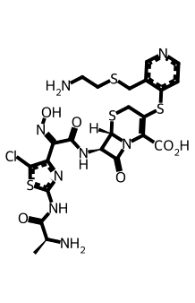 C[C@H](N)C(=O)Nc1nc(/C(=N/O)C(=O)N[C@@H]2C(=O)N3C(C(=O)O)=C(Sc4ccncc4CSCCN)CS[C@@H]23)c(Cl)s1